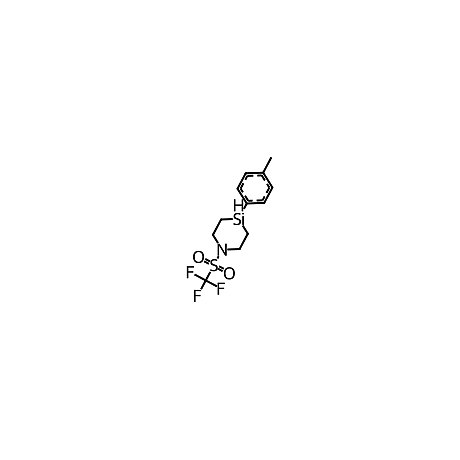 Cc1ccc([SiH]2CCN(S(=O)(=O)C(F)(F)F)CC2)cc1